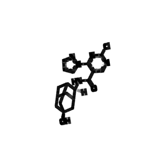 O=C(N[C@H]1C2CC3CC1C[C@@](O)(C3)C2)c1cnc(Cl)nc1-n1cccn1